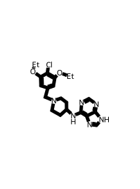 CCOc1cc(CN2CCC(Nc3ncnc4[nH]cnc34)CC2)cc(OCC)c1Cl